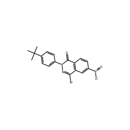 CC(C)(C)c1ccc(-n2nc(Br)c3cc([N+](=O)[O-])ccc3c2=O)cc1